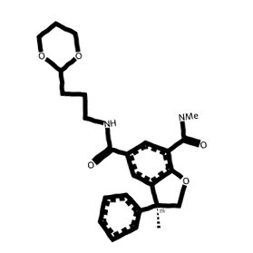 CNC(=O)c1cc(C(=O)NCCCC2OCCCO2)cc2c1OC[C@@]2(C)c1ccccc1